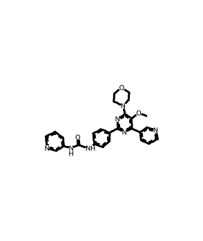 COc1c(-c2cccnc2)nc(-c2ccc(NC(=O)Nc3cccnc3)cc2)nc1N1CCOCC1